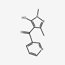 Cc1nn(C)c(O)c1C(=O)c1cccnc1